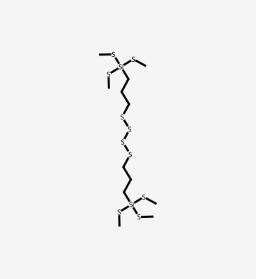 CS[Si](CCCSSSSCCC[Si](SC)(SC)SC)(SC)SC